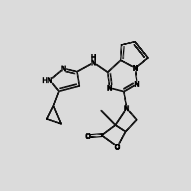 CC12C(=O)OC1CN2c1nc(Nc2cc(C3CC3)[nH]n2)c2cccn2n1